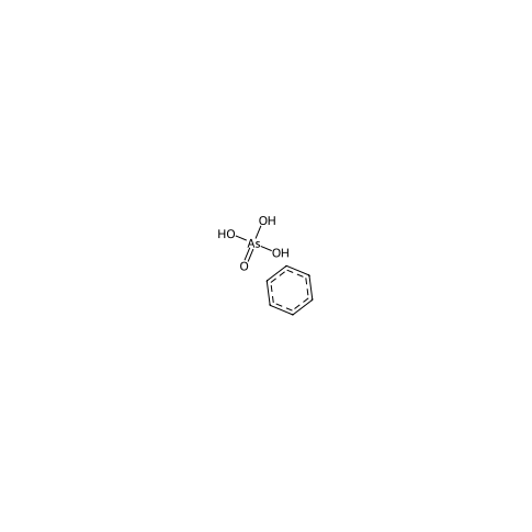 O=[As](O)(O)O.c1ccccc1